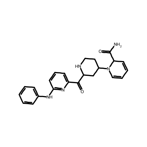 NC(=O)C1C=CC=CN1C1CCNC(C(=O)c2cccc(Nc3ccccc3)n2)C1